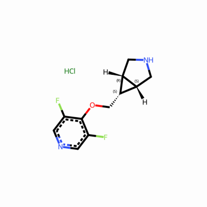 Cl.Fc1cncc(F)c1OC[C@@H]1[C@@H]2CNC[C@@H]21